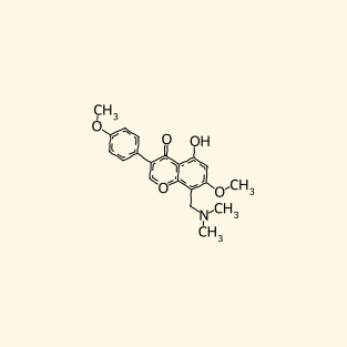 COc1ccc(-c2coc3c(CN(C)C)c(OC)cc(O)c3c2=O)cc1